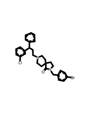 O=C1N(Cc2ccc(Br)cc2)CCC12CCN(CCC(c1ccccc1)c1cccc(Cl)c1)CC2